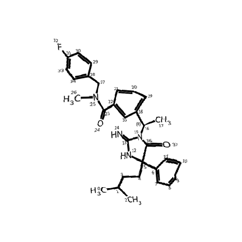 CC(C)CCC1(c2ccccc2)NC(=N)N([C@H](C)c2cccc(C(=O)N(C)Cc3ccc(F)cc3)c2)C1=O